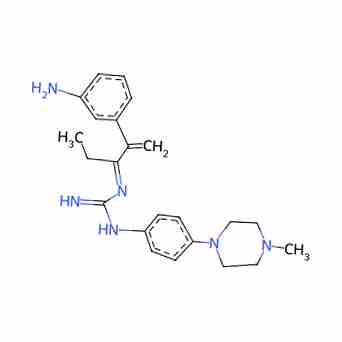 C=C(/C(CC)=N/C(=N)Nc1ccc(N2CCN(C)CC2)cc1)c1cccc(N)c1